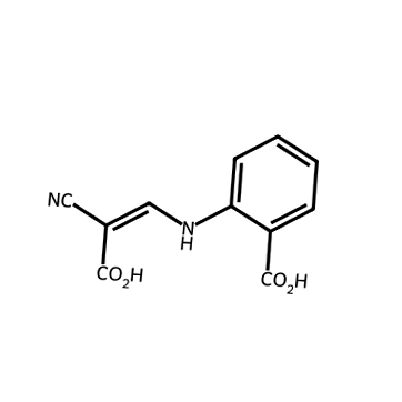 N#CC(=CNc1ccccc1C(=O)O)C(=O)O